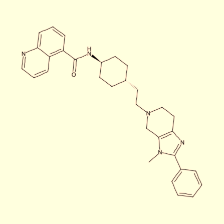 Cn1c(-c2ccccc2)nc2c1CN(CC[C@H]1CC[C@H](NC(=O)c3cccc4ncccc34)CC1)CC2